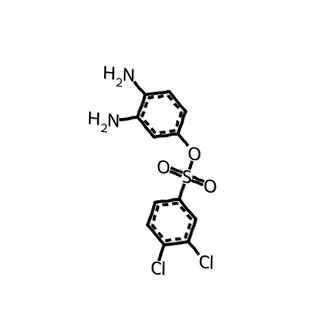 Nc1ccc(OS(=O)(=O)c2ccc(Cl)c(Cl)c2)cc1N